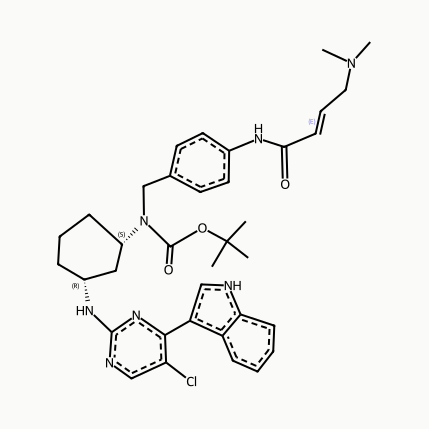 CN(C)C/C=C/C(=O)Nc1ccc(CN(C(=O)OC(C)(C)C)[C@H]2CCC[C@@H](Nc3ncc(Cl)c(-c4c[nH]c5ccccc45)n3)C2)cc1